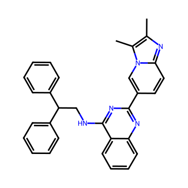 Cc1nc2ccc(-c3nc(NCC(c4ccccc4)c4ccccc4)c4ccccc4n3)cn2c1C